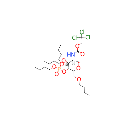 CCCCOCC(OC)C(OP(=O)(OCCCC)OCCCC)[C@@H](OCCCC)[C@@H](C)NC(=O)OCC(Cl)(Cl)Cl